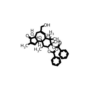 CC1=C[C@H]2[C@@]3(O)[C@H](C)[C@@H](OC(=O)c4ccccc4)[C@@](C)(OC(=O)c4ccccc4)C(C)(C)[C@@H]3C=C(CO)C[C@]2(O)C1=O